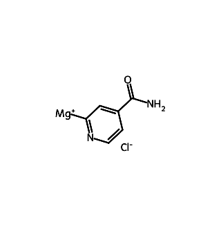 NC(=O)c1ccn[c]([Mg+])c1.[Cl-]